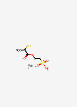 CC(S)C(=O)OCCS(=O)(=O)O.[NaH]